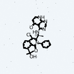 C[C@H](Nc1ncnc2[nH]ccc(=O)c12)c1c(Cl)c2cccc(C(C)(C)O)c2c(=O)n1-c1ccccc1